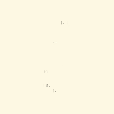 CC(C)c1[nH]ncc1Cc1ccc(OCCN)cc1